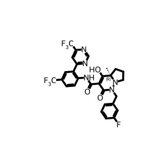 C[C@]12CCCN1N(Cc1cccc(F)c1)C(=O)C(C(=O)Nc1ccc(C(F)(F)F)cc1-c1cc(C(F)(F)F)ncn1)=C2O